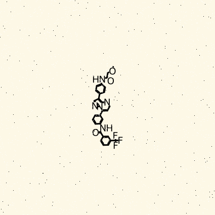 COCC(=O)Nc1ccc(-c2cnn3c(-c4cccc(NC(=O)c5cccc(C(F)(F)F)c5)c4)ccnc23)cc1